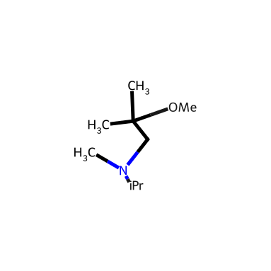 COC(C)(C)CN(C)C(C)C